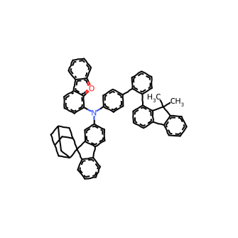 CC1(C)c2ccccc2-c2cccc(-c3ccccc3-c3ccc(N(c4ccc5c(c4)C4(c6ccccc6-5)C5CC6CC(C5)CC4C6)c4cccc5c4oc4ccccc45)cc3)c21